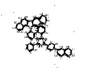 c1ccc(-c2nc(-c3ccc(-c4ccc5ccccc5c4)cc3)nc(-c3ccccc3-c3ccccc3-n3c4cc5ccccc5cc4c4ccc5ccccc5c43)n2)cc1